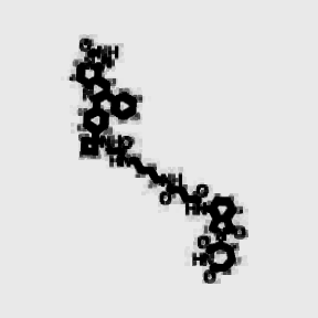 O=C(CCC(=O)Nc1cccc2c1CN([C@H]1CCCC(=O)NC1=O)C2=O)NCCCCNC(=O)CNC1(c2ccc(-c3nc4ccn5c(=O)[nH]nc5c4cc3-c3ccccc3)cc2)CCC1